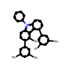 CC(C)c1cc(-c2cccc3c2c2c(C(C)(C)C)c(-c4cc(C(C)(C)C)cc(C(C)(C)C)c4)ccc2n3-c2ccccc2)cc(C(C)(C)C)c1